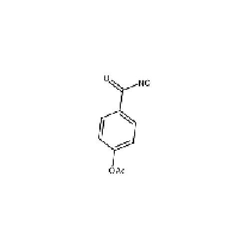 CC(=O)Oc1ccc(C(=O)N=O)cc1